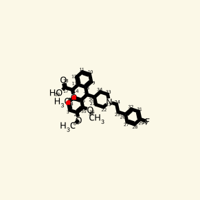 COc1cccc(C(c2ccccc2C(OC)C(=O)O)C2CCN(CCc3ccc(F)cc3)CC2)c1OC